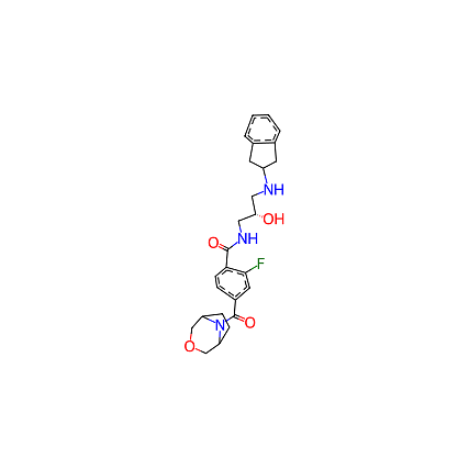 O=C(NC[C@@H](O)CNC1Cc2ccccc2C1)c1ccc(C(=O)N2C3CCC2COC3)cc1F